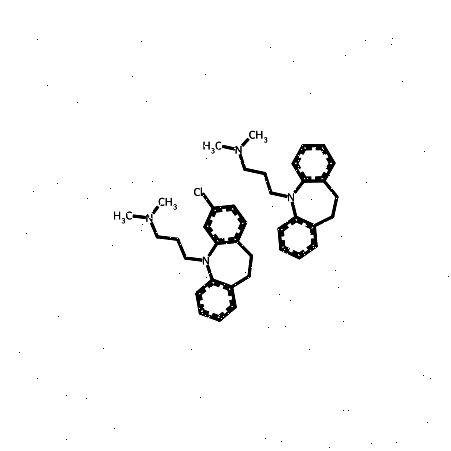 CN(C)CCCN1c2ccccc2CCc2ccc(Cl)cc21.CN(C)CCCN1c2ccccc2CCc2ccccc21